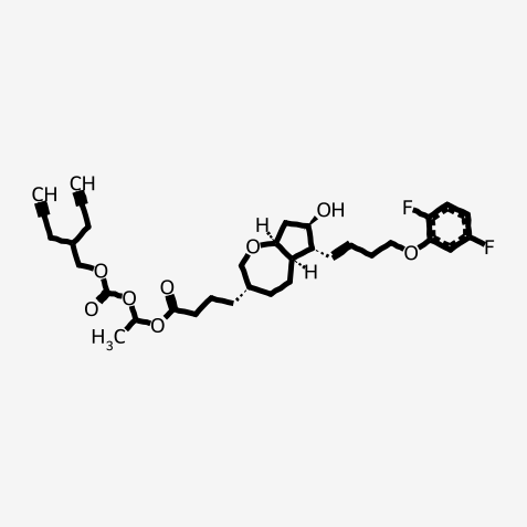 C#CCC(CC#C)COC(=O)OC(C)OC(=O)CCC[C@H]1CC[C@@H]2[C@@H](/C=C/CCOc3cc(F)ccc3F)[C@H](O)C[C@@H]2OC1